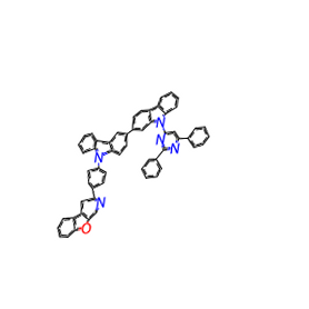 c1ccc(-c2cc(-n3c4ccccc4c4ccc(-c5ccc6c(c5)c5ccccc5n6-c5ccc(-c6cc7c(cn6)oc6ccccc67)cc5)cc43)nc(-c3ccccc3)n2)cc1